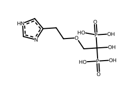 O=P(O)(O)C(O)(COCCc1c[nH]cn1)P(=O)(O)O